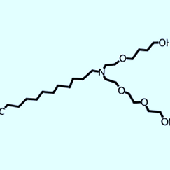 CCCCCCCCCCCCN(CCOCCCCO)CCOCCOCCO